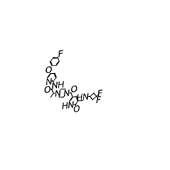 CC(C(=O)Nc1ccc(Oc2ccc(F)cc2)cn1)N1CCN(C(=O)c2c[nH]c(=O)c(CNC3CC(F)(F)C3)c2)CC1